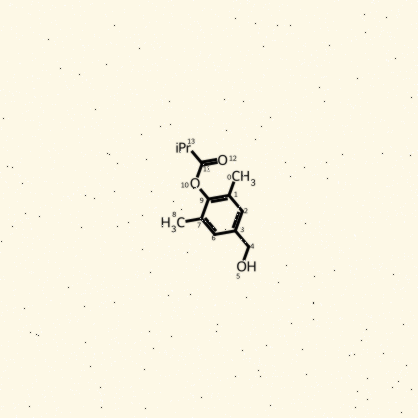 Cc1cc(CO)cc(C)c1OC(=O)C(C)C